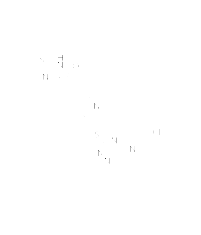 C=CCn1c2c(c3nnc(SCC(=O)Nc4ccc(S(=O)(=O)Nc5nccs5)cc4)nc31)C=CCC2